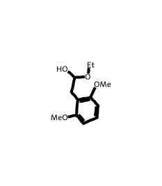 CCOC(O)Cc1c(OC)cccc1OC